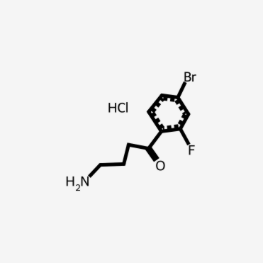 Cl.NCCCC(=O)c1ccc(Br)cc1F